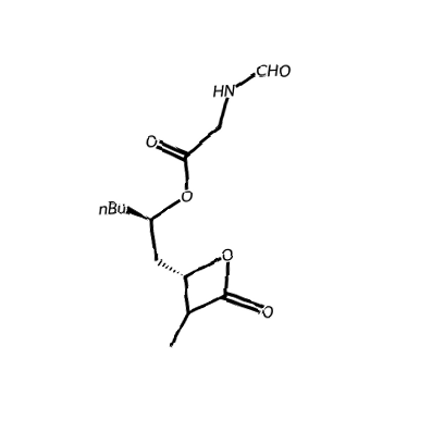 CCCC[C@H](C[C@@H]1OC(=O)C1C)OC(=O)CNC=O